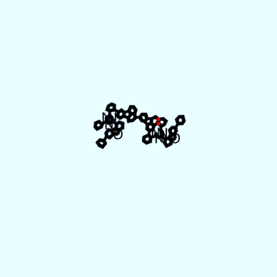 c1ccc(-c2ccc3c(c2)oc2cccc(-c4nc(-c5ccccc5)nc(-c5ccccc5-c5ccc6c(c5)-c5cccc7c(-c8ccc9c(c8)-c8cc(-c%10ccccc%10-c%10nc(-c%11ccccc%11)nc(-c%11cccc%12oc%13cc(-c%14ccccc%14)ccc%13c%11%12)n%10)cc%10cccc-9c8%10)ccc-6c57)n4)c23)cc1